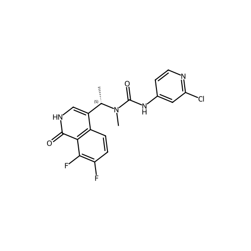 C[C@@H](c1c[nH]c(=O)c2c(F)c(F)ccc12)N(C)C(=O)Nc1ccnc(Cl)c1